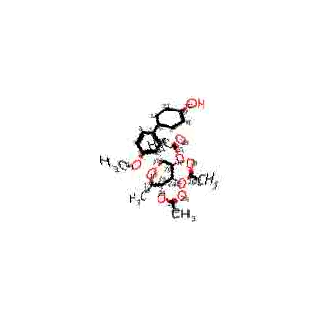 COc1ccc(C2CCC(O)CC2)cc1[C@H]1O[C@@H](C)[C@@H](OC(C)=O)[C@@H](OC(C)=O)[C@@H]1OC(C)=O